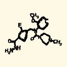 COc1ccccc1N(Cc1ccc(C(=O)NN)cc1F)C(=O)N1CCN(C)CC1